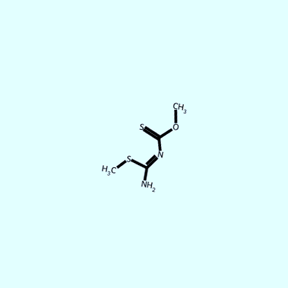 COC(=S)N=C(N)SC